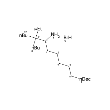 Br.CCCCCCCCCCCCCCCC(N)C(CC)(CCCC)CCCC